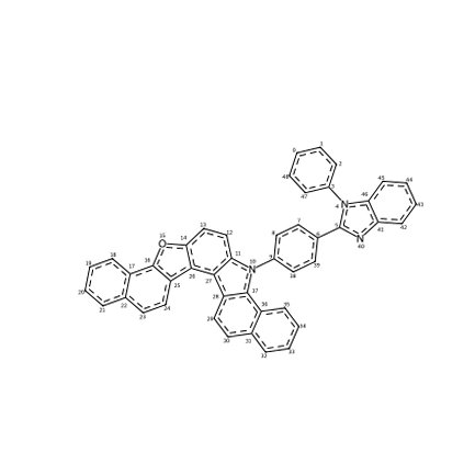 c1ccc(-n2c(-c3ccc(-n4c5ccc6oc7c8ccccc8ccc7c6c5c5ccc6ccccc6c54)cc3)nc3ccccc32)cc1